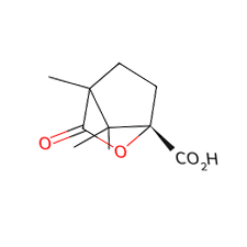 CC12CC[C@](C(=O)O)(OC1=O)C2(C)C